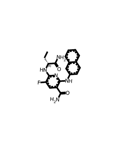 CC[C@@H](Nc1nc(Nc2ccc3ccccc3c2)c(C(N)=O)cc1F)C(N)=O